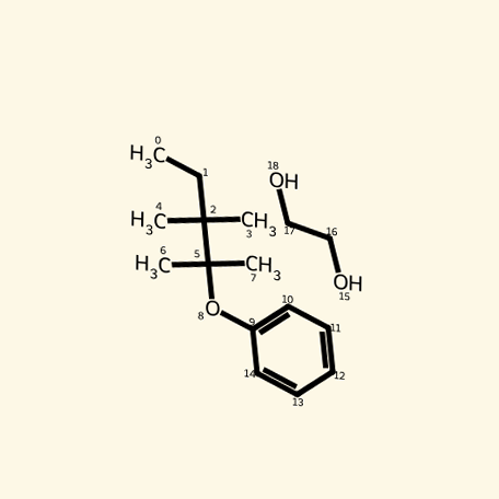 CCC(C)(C)C(C)(C)Oc1ccccc1.OCCO